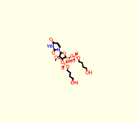 CO[C@@H]1[C@H](OP(=O)(O)OCCCCO)[C@@H](COP(=O)(O)OCCCCO)O[C@H]1n1ccc(=O)[nH]c1=O